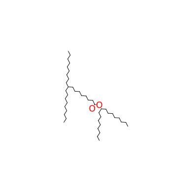 CCCCCCCCCC(CCCCCCCCC)CCCCCCCC(=O)OC(CCCCCCCC)CCCCCCCC